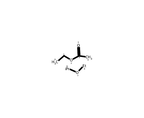 CCOC(C)=O.CCOC(C)C